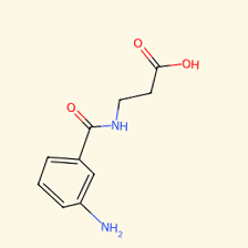 Nc1cccc(C(=O)NCCC(=O)O)c1